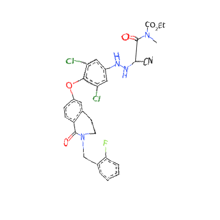 CCOC(=O)N(C)C(=O)C(C#N)NNc1cc(Cl)c(Oc2ccc3c(c2)CCN(Cc2ccccc2F)C3=O)c(Cl)c1